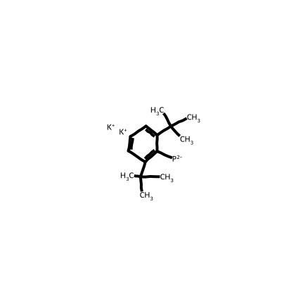 CC(C)(C)c1cccc(C(C)(C)C)c1[P-2].[K+].[K+]